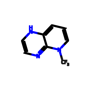 FC(F)(F)N1C=[C]C=C2NC=[C]N=C21